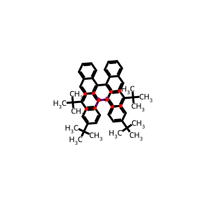 CC(C)(C)c1ccc(P(c2ccc(C(C)(C)C)cc2)c2ccc3ccccc3c2-c2c(P(c3ccc(C(C)(C)C)cc3)c3ccc(C(C)(C)C)cc3)ccc3ccccc23)cc1